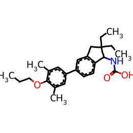 CCCOc1c(C)cc(-c2ccc3c(c2)CC(CC)(CC)C3NC(=O)O)cc1C